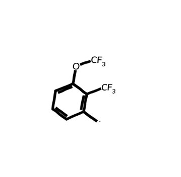 [CH2]c1cccc(OC(F)(F)F)c1C(F)(F)F